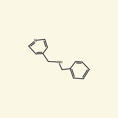 c1ccc(CNCc2ccncc2)cc1